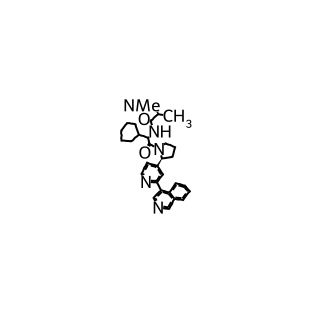 CN[C@@H](C)C(=O)N[C@H](C(=O)N1CCC[C@H]1c1ccnc(-c2cncc3ccccc23)c1)C1CCCCC1